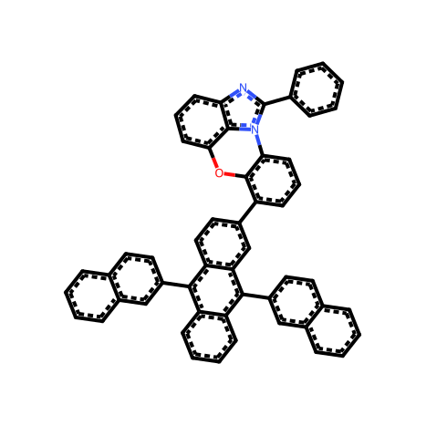 c1ccc(-c2nc3cccc4c3n2-c2cccc(-c3ccc5c(-c6ccc7ccccc7c6)c6ccccc6c(-c6ccc7ccccc7c6)c5c3)c2O4)cc1